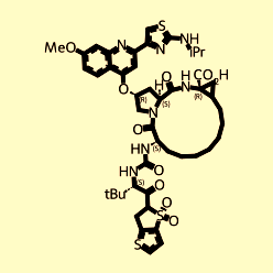 COc1ccc2c(O[C@@H]3C[C@H]4C(=O)N[C@]5(C(=O)O)CC5CCCCCCC[C@H](NC(=O)N[C@H](C(=O)C5Cc6sccc6S5(=O)=O)C(C)(C)C)C(=O)N4C3)cc(-c3csc(NC(C)C)n3)nc2c1